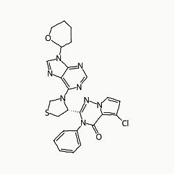 O=c1c2c(Cl)ccn2nc([C@@H]2CSCN2c2ncnc3c2ncn3C2CCCCO2)n1-c1ccccc1